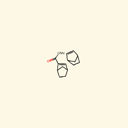 C1=CC2CCC1C2.COC(=O)C1=CC2CCC1C2